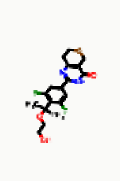 CC(C)(OCCO)c1c(F)cc(-c2nc3c(c(=O)[nH]2)CSCC3)cc1F